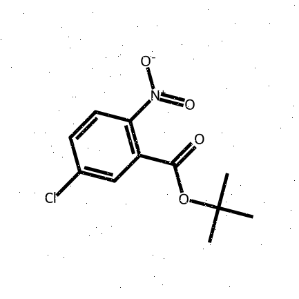 CC(C)(C)OC(=O)c1cc(Cl)ccc1[N+](=O)[O-]